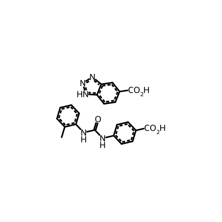 Cc1ccccc1NC(=O)Nc1ccc(C(=O)O)cc1.O=C(O)c1ccc2[nH]nnc2c1